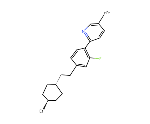 CCCc1ccc(-c2ccc(CC[C@H]3CC[C@H](CC)CC3)cc2F)nc1